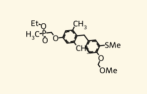 CCOP(C)(=O)COc1cc(C)c(Cc2ccc(OCOC)c(SC)c2)c(C)c1